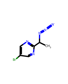 CC(N=[N+]=[N-])c1ncc(Br)cn1